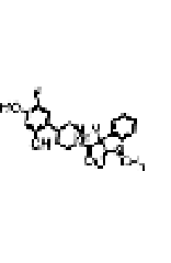 COC(=O)C(N)(C(=O)N1CCC(c2cc(F)c(O)cc2O)CC1)c1ccccc1